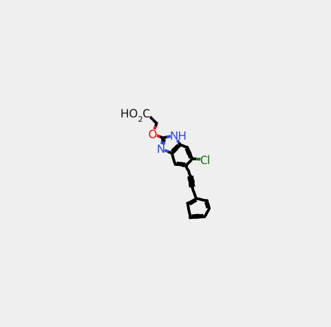 O=C(O)COc1nc2cc(C#Cc3ccccc3)c(Cl)cc2[nH]1